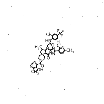 Cc1ccc(-c2nc3n(CC(=O)Nc4ccc(C(F)(F)F)cc4Cl)c4c(c(=O)n3n2)C2(CCN(C(=O)c3ncnc(C)c3O)CC2)CC4C)c(C)n1